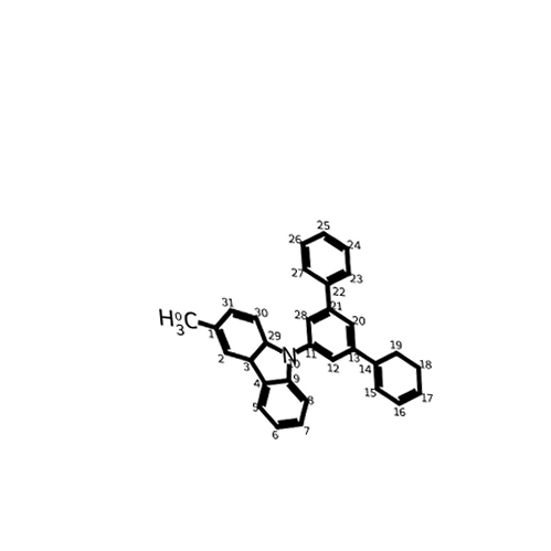 CC1=CC2c3ccccc3N(c3cc(C4=CC=CCC4)cc(-c4ccccc4)c3)C2C=C1